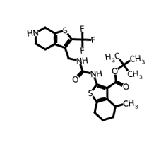 CC1CCCc2sc(NC(=O)NCc3c(C(F)(F)F)sc4c3CCNC4)c(C(=O)OC(C)(C)C)c21